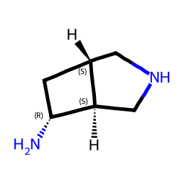 N[C@@H]1C[C@@H]2CNC[C@H]21